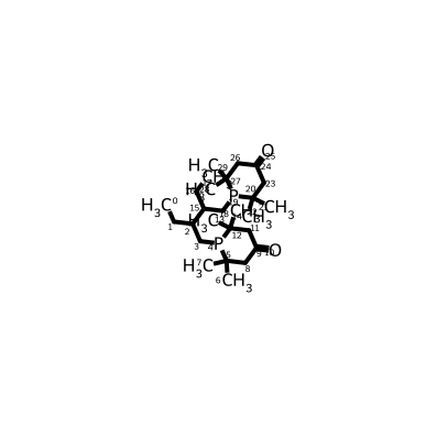 CCC(CP1C(C)(C)CC(=O)CC1(C)C)C(CC)CP1C(C)(C)CC(=O)CC1(C)C